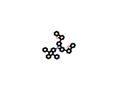 c1ccc(-c2c3ccccc3c(-c3ccccc3)c3cc(-n4c5ccc(-c6cccc7c6oc6ccccc67)cc5c5cc(-c6cccc7c6oc6ccccc67)ccc54)ccc23)cc1